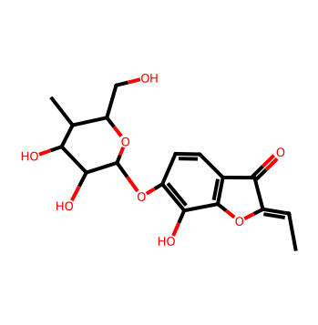 C/C=C1\Oc2c(ccc(OC3OC(CO)C(C)C(O)C3O)c2O)C1=O